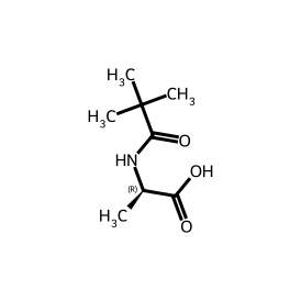 C[C@@H](NC(=O)C(C)(C)C)C(=O)O